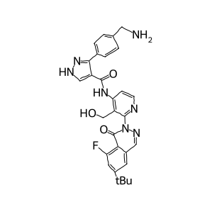 CC(C)(C)c1cc(F)c2c(=O)n(-c3nccc(NC(=O)c4c[nH]nc4-c4ccc(CN)cc4)c3CO)ncc2c1